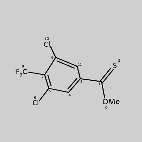 COC(=S)c1cc(Cl)c(C(F)(F)F)c(Cl)c1